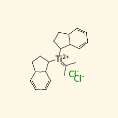 C[C](C)=[Ti+2]([CH]1CCC2C=CC=CC21)[CH]1CCC2C=CC=CC21.[Cl-].[Cl-]